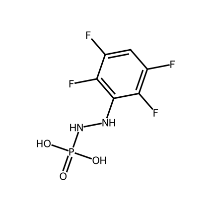 O=P(O)(O)NNc1c(F)c(F)cc(F)c1F